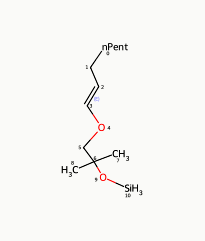 CCCCCC/C=C/OCC(C)(C)O[SiH3]